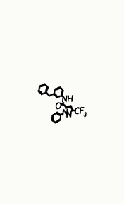 O=C(Nc1cccc(Cc2ccccc2)c1)c1cc(C(F)(F)F)nn1-c1ccccc1